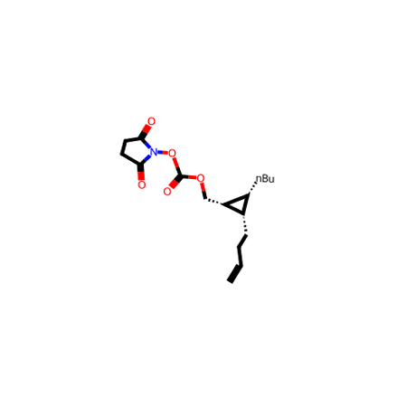 C=CCC[C@H]1[C@@H](CCCC)[C@H]1COC(=O)ON1C(=O)CCC1=O